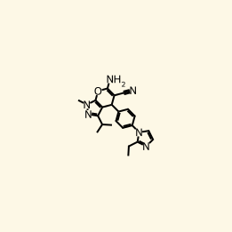 CCc1nccn1-c1ccc(C2C(C#N)=C(N)Oc3c2c(C(C)C)nn3C)cc1